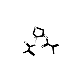 C=C(C)C(=O)O[C@H]1COC[C@H]1OC(=O)C(=C)C